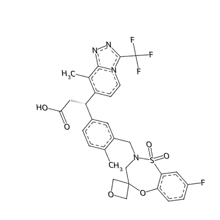 Cc1ccc([C@H](CC(=O)O)c2ccn3c(C(F)(F)F)nnc3c2C)cc1CN1CC2(COC2)Oc2ccc(F)cc2S1(=O)=O